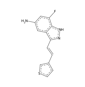 Nc1cc(F)c2[nH]nc(C=Cc3ccsc3)c2c1